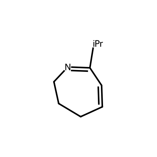 CC(C)C1=NCCCC=C1